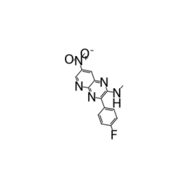 CNc1nc2cc([N+](=O)[O-])cnc2nc1-c1ccc(F)cc1